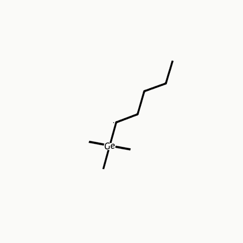 CCCC[CH][Ge]([CH3])([CH3])[CH3]